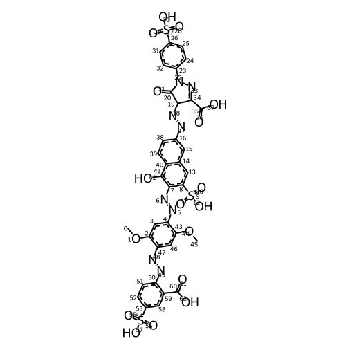 COc1cc(/N=N/c2c(S(=O)(=O)O)cc3cc(/N=N/C4C(=O)N(c5ccc(S(=O)(=O)O)cc5)N=C4C(=O)O)ccc3c2O)c(OC)cc1/N=N/c1ccc(S(=O)(=O)O)cc1C(=O)O